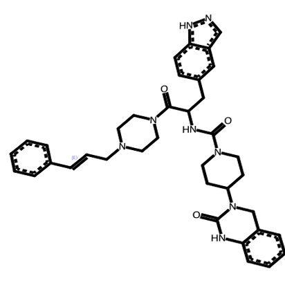 O=C(NC(Cc1ccc2[nH]ncc2c1)C(=O)N1CCN(C/C=C/c2ccccc2)CC1)N1CCC(N2Cc3ccccc3NC2=O)CC1